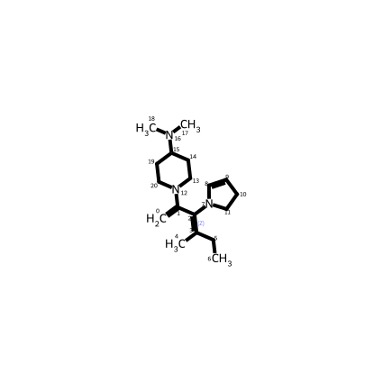 C=C(/C(=C(\C)CC)N1C=CCC1)N1CCC(N(C)C)CC1